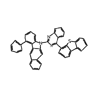 c1ccc(-c2cccc3c2c2cc4ccccc4cc2n3-c2nc(-c3cccc4c3sc3ccccc34)c3ccccc3n2)cc1